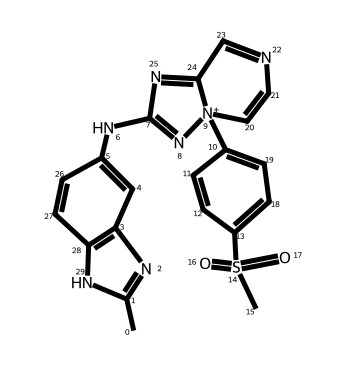 Cc1nc2cc(NC3=N[N+]4(c5ccc(S(C)(=O)=O)cc5)C=CN=CC4=N3)ccc2[nH]1